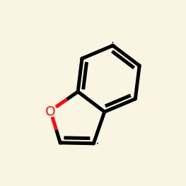 [c]1ccc2[c]coc2c1